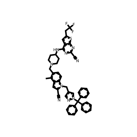 Cc1c(CN2CCC(Nc3nc(C#N)nc4sc(CC(F)(F)F)cc34)CC2)ccc2c1cc(C#N)n2Cc1cnn(C(c2ccccc2)(c2ccccc2)c2ccccc2)c1